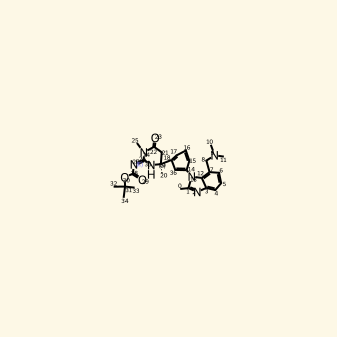 Cc1nc2cccc(CN(C)C)c2n1-c1cccc([C@]2(C)CC(=O)N(C)/C(=N/C(=O)OC(C)(C)C)N2)c1